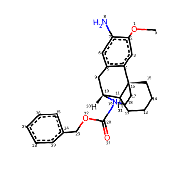 COc1cc2c(cc1N)C[C@@H]1[C@@H]3CCCC[C@]23CCN1C(=O)OCc1ccccc1